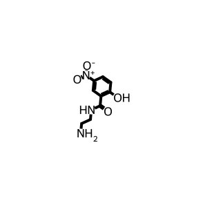 NCCNC(=O)c1cc([N+](=O)[O-])ccc1O